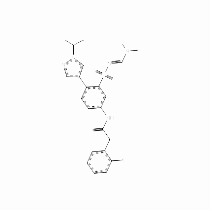 CN(C)C=NS(=O)(=O)c1cc(NC(=O)Cc2ccccc2F)ccc1-c1cnn(C(F)F)c1